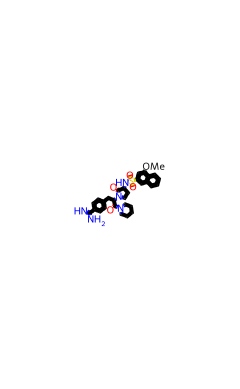 COc1cc(S(=O)(=O)NC2CCN(C(Cc3ccc(C(=N)N)cc3)C(=O)N3CCCCC3)C2=O)cc2ccccc12